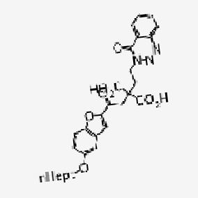 CCCCCCCOc1ccc2oc(C(=O)CC(CCn3nnc4ccccc4c3=O)(C(=O)O)C(=O)O)cc2c1